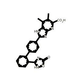 Cc1c(C(=O)O)nc2nc(-c3ccc(-c4ccccc4-c4nc(=O)o[nH]4)cc3)[nH]c2c1C